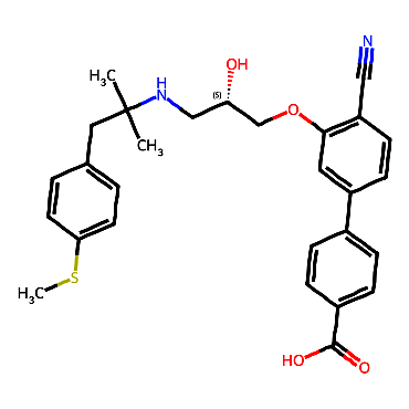 CSc1ccc(CC(C)(C)NC[C@H](O)COc2cc(-c3ccc(C(=O)O)cc3)ccc2C#N)cc1